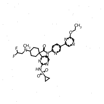 CCOc1cncc(-c2ccc(NC(=O)C3(c4ccnc(NS(=O)(=O)C5CC5)n4)CCC(N(C)CC(F)F)CC3)nc2)n1